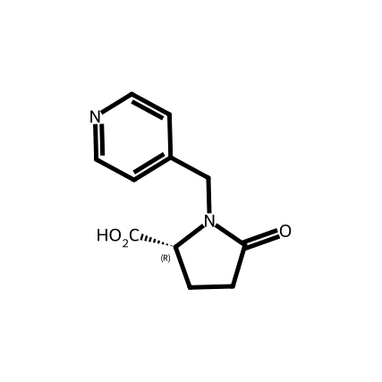 O=C(O)[C@H]1CCC(=O)N1Cc1ccncc1